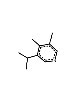 Cc1cncc(C(C)C)c1C